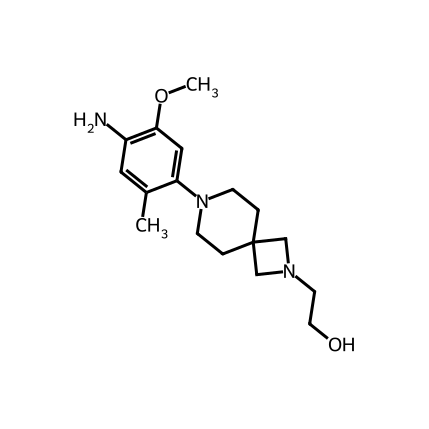 COc1cc(N2CCC3(CC2)CN(CCO)C3)c(C)cc1N